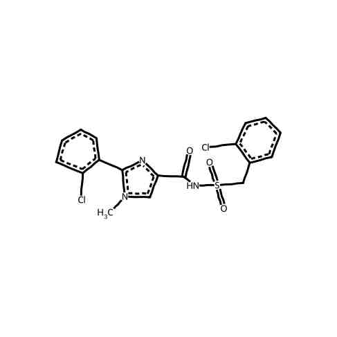 Cn1cc(C(=O)NS(=O)(=O)Cc2ccccc2Cl)nc1-c1ccccc1Cl